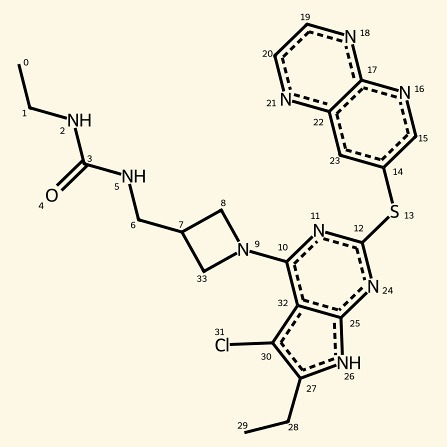 CCNC(=O)NCC1CN(c2nc(Sc3cnc4nccnc4c3)nc3[nH]c(CC)c(Cl)c23)C1